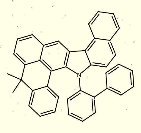 CC1(C)c2ccccc2-c2c3c1cccc3cc1c3c4ccccc4ccc3n(-c3ccccc3-c3ccccc3)c21